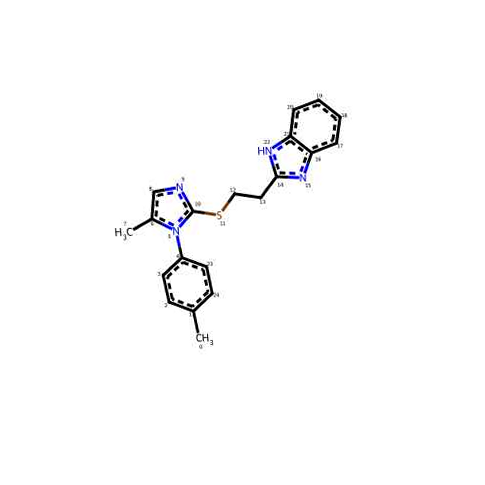 Cc1ccc(-n2c(C)cnc2SCCc2nc3ccccc3[nH]2)cc1